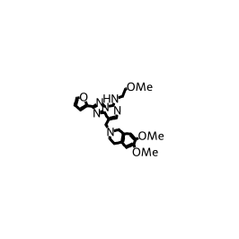 COCCNc1ncc(CN2CCc3cc(OC)c(OC)cc3C2)c2nc(-c3ccco3)nn12